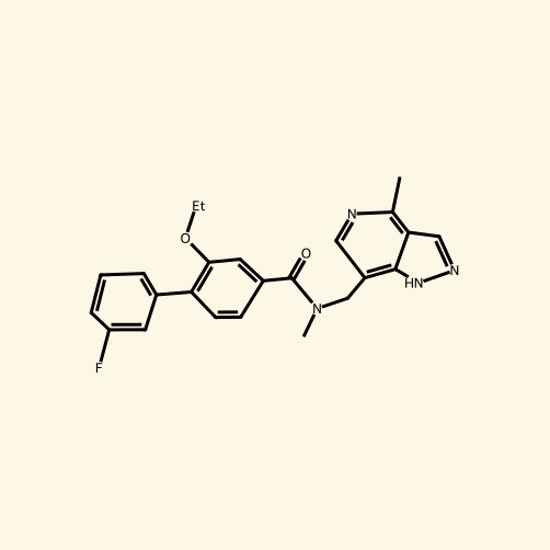 CCOc1cc(C(=O)N(C)Cc2cnc(C)c3cn[nH]c23)ccc1-c1cccc(F)c1